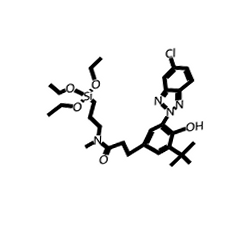 CCO[Si](CCCN(C)C(=O)CCc1cc(-n2nc3ccc(Cl)cc3n2)c(O)c(C(C)(C)C)c1)(OCC)OCC